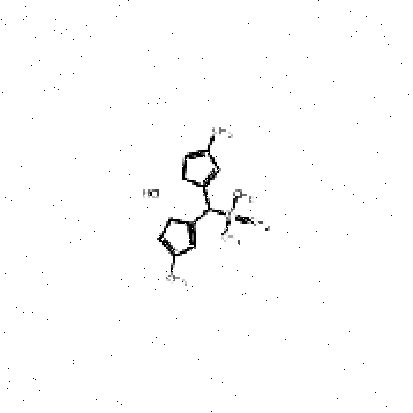 CC1=CCC([CH](C2=CC(C)=CC2)[Zr]([CH3])([CH3])=[SiH2])=C1.Cl